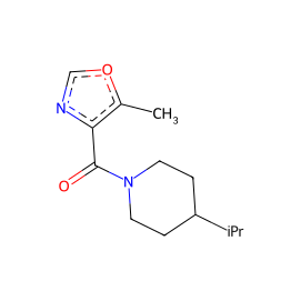 Cc1ocnc1C(=O)N1CCC(C(C)C)CC1